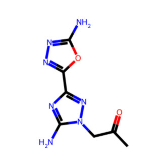 CC(=O)Cn1nc(-c2nnc(N)o2)nc1N